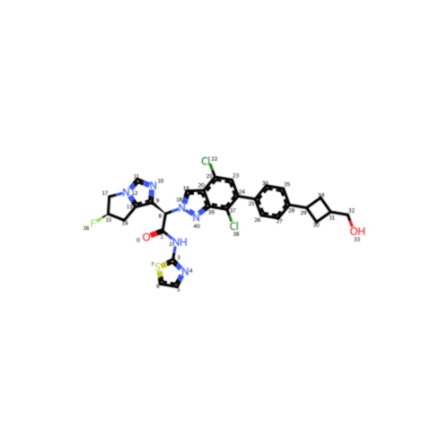 O=C(Nc1nccs1)[C@@H](c1ncn2c1C[C@@H](F)C2)n1cc2c(Cl)cc(-c3ccc(C4CC(CO)C4)cc3)c(Cl)c2n1